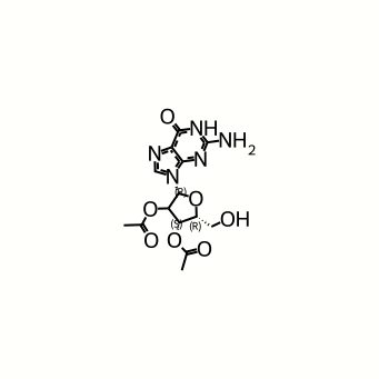 CC(=O)OC1[C@@H](OC(C)=O)[C@@H](CO)O[C@H]1n1cnc2c(=O)[nH]c(N)nc21